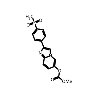 COC(=O)Oc1ccc2nc(-c3ccc(S(C)(=O)=O)cc3)cn2c1